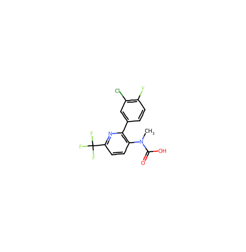 CN(C(=O)O)c1ccc(C(F)(F)F)nc1-c1ccc(F)c(Cl)c1